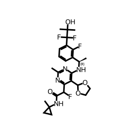 Cc1nc(N[C@H](C)c2cccc(C(F)(F)C(C)(C)O)c2F)c(C2OCCO2)c(C(F)C(=O)NC2(C)CC2)n1